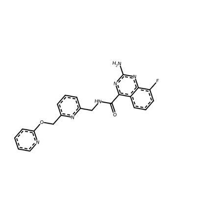 Nc1nc(C(=O)NCc2cccc(COc3ccccn3)n2)c2cccc(F)c2n1